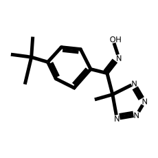 CC1(C(=NO)c2ccc(C(C)(C)C)cc2)N=NN=N1